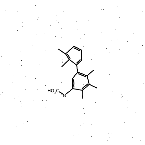 Cc1cccc(-c2cc(OC(=O)O)c(C)c(C)c2C)c1C